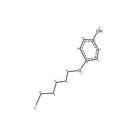 Oc1ccc(OCCCCCI)cc1